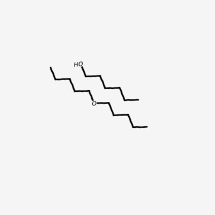 CCCCCCO.CCCCCOCCCCC